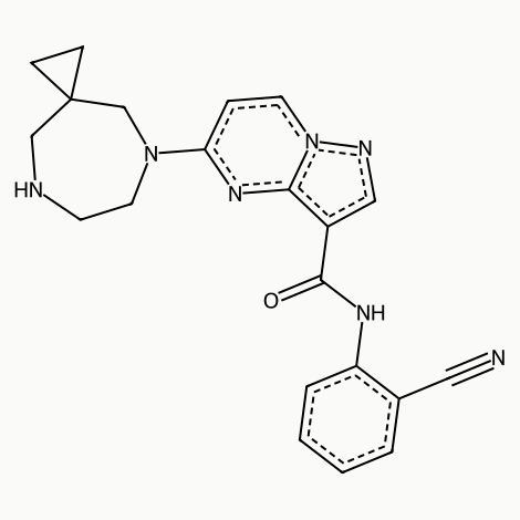 N#Cc1ccccc1NC(=O)c1cnn2ccc(N3CCNCC4(CC4)C3)nc12